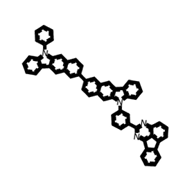 c1ccc(-n2c3ccccc3c3cc4cc(-c5ccc6cc7c(cc6c5)c5ccccc5n7-c5cccc(-c6nc7c8c(cccc8n6)-c6ccccc6-7)c5)ccc4cc32)cc1